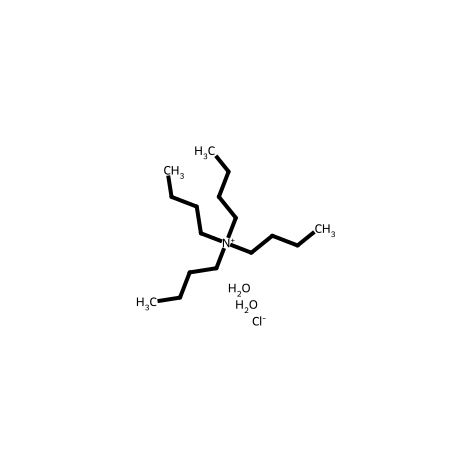 CCCC[N+](CCCC)(CCCC)CCCC.O.O.[Cl-]